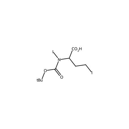 CC(C)(C)OC(=O)N(I)C(CCI)C(=O)O